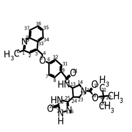 Cc1cc(COc2ccc(C(=O)NC3CN(C(=O)OC(C)(C)C)CC3c3n[nH]c(=O)[nH]3)cc2)c2ccccc2n1